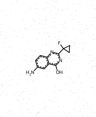 Nc1ccc2nc(C3(F)CC3)nc(O)c2c1